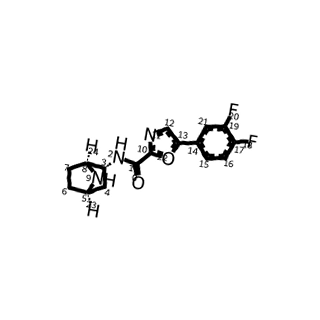 O=C(N[C@@H]1C[C@H]2CC[C@@H]1N2)c1ncc(-c2ccc(F)c(F)c2)o1